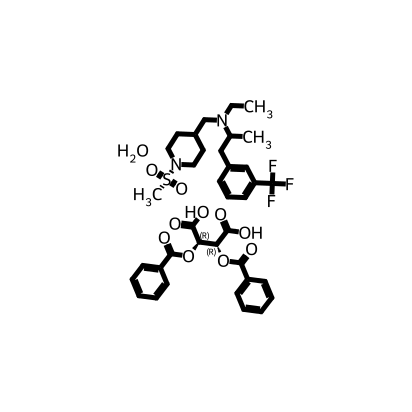 CCN(CC1CCN(S(C)(=O)=O)CC1)C(C)Cc1cccc(C(F)(F)F)c1.O.O=C(O[C@@H](C(=O)O)[C@@H](OC(=O)c1ccccc1)C(=O)O)c1ccccc1